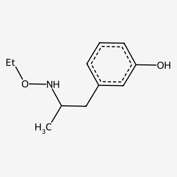 CCONC(C)Cc1cccc(O)c1